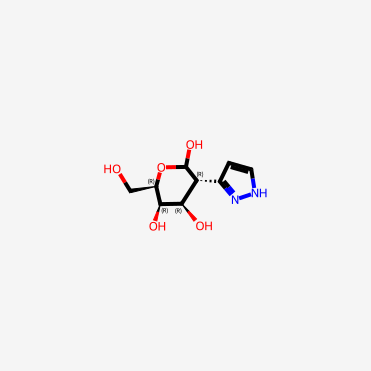 OC[C@H]1OC(O)[C@H](c2cc[nH]n2)[C@@H](O)[C@H]1O